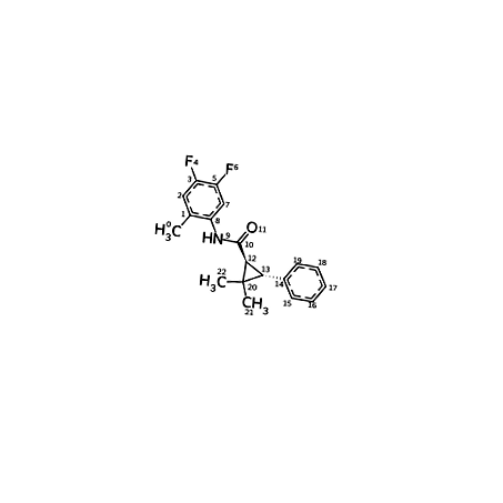 Cc1cc(F)c(F)cc1NC(=O)[C@H]1[C@H](c2ccccc2)C1(C)C